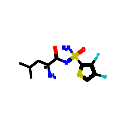 CC(C)C[C@H](N)C(=O)N=S(N)(=O)c1scc(F)c1F